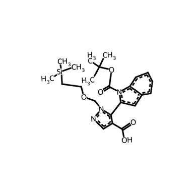 CC(C)(C)OC(=O)n1c(-c2c(C(=O)O)cnn2COCC[Si](C)(C)C)cc2ccccc21